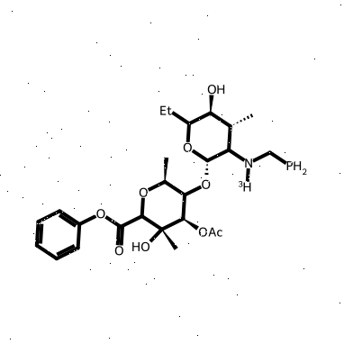 [3H]N(CP)C1[C@H](OC2[C@H](C)OC(C(=O)Oc3ccccc3)[C@@](C)(O)[C@@H]2OC(C)=O)OC(CC)[C@@H](O)[C@@H]1C